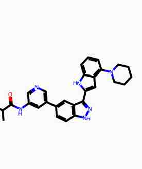 CC(C)C(=O)Nc1cncc(-c2ccc3[nH]nc(-c4cc5c(N6CCCCC6)cccc5[nH]4)c3c2)c1